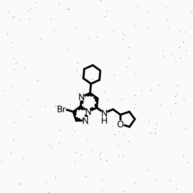 Brc1cnn2c(NCC3CCCO3)cc(C3CCCCC3)nc12